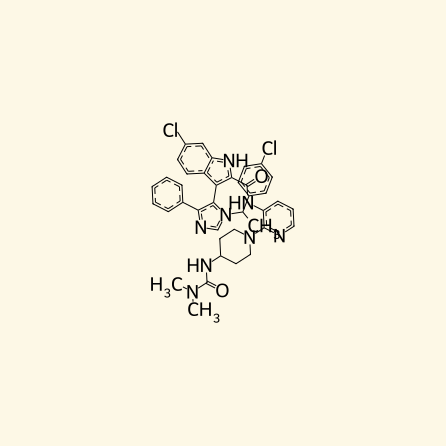 CC(c1ccc(Cl)cc1)n1cnc(-c2ccccc2)c1-c1c(C(=O)Nc2cccnc2N2CCC(NC(=O)N(C)C)CC2)[nH]c2cc(Cl)ccc12